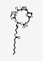 CCCCCCCC(=O)SCC/C=C/[C@@H]1CC(=O)NCc2nc(cs2)C2=N[C@](C)(CS2)C(=O)N[C@@H](C(C)C)C(=O)O1